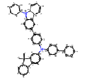 CC1(C)c2ccccc2-c2ccc(N(c3ccc(-c4ccccc4)cc3)c3ccc(-c4ccc5c(c4)C4C=CC=CC4N5C4=CC=CCC4)cc3)cc21